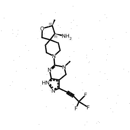 C[C@@H]1OCC2(CCN(C3=Nc4[nH]nc(C#CC(F)(F)F)c4CN3C)CC2)[C@@H]1N